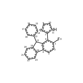 Fc1ccc2c(c1-c1ncc[nH]1)C(c1ccccc1)c1ccccc1-2